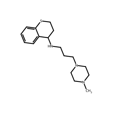 CN1CCN(CCCNC2CCSc3ccccc32)CC1